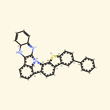 C1=CC2=Nc3c(c4cccc5c6ccc7c8cc(-c9ccccc9)ccc8sc7c6n3c45)NC2C=C1